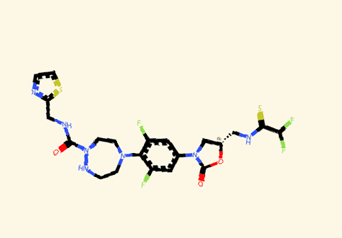 O=C(NCc1nccs1)N1CCN(c2c(F)cc(N3C[C@H](CNC(=S)C(F)F)OC3=O)cc2F)CCN1